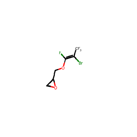 FC(OCC1CO1)=C(Br)C(F)(F)F